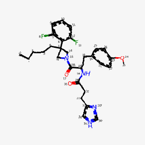 CCCCCC1(c2c(F)cccc2F)CN(C(=O)C(Cc2ccc(OC)cc2)NC(=O)CCc2c[nH]cn2)C1